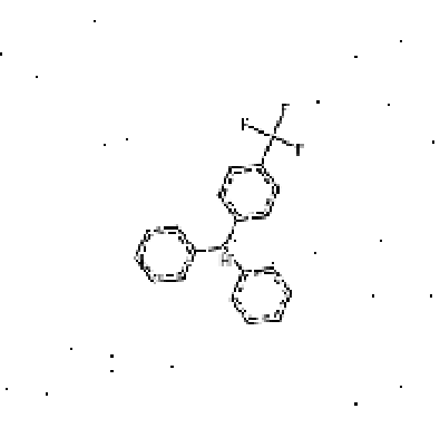 FC(F)(F)c1ccc([SH](c2ccccc2)c2ccccc2)cc1